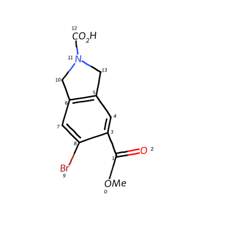 COC(=O)c1cc2c(cc1Br)CN(C(=O)O)C2